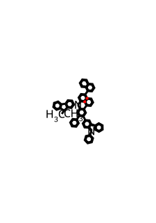 CC1(C)c2ccccc2-c2ccc(N(c3ccc(-c4cccc5ccccc45)cc3)c3cc(-c4ccccc4)c(-c4ccc5c(c4)c4ccccc4n5-c4ccccc4)cc3-c3ccccc3)cc21